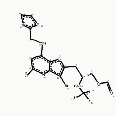 O=COC[C@@H](Cc1sc2c(NCc3nccs3)cc(Cl)nc2c1Br)NC(F)(F)F